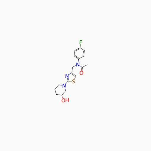 CC(=O)N(Cc1csc(N2CCCC(O)C2)n1)c1ccc(F)cc1